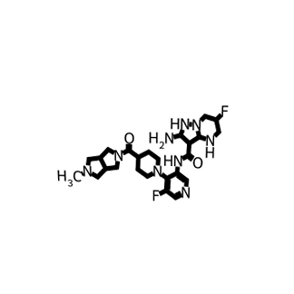 CN1CC2CN(C(=O)C3CCN(c4c(F)cncc4NC(=O)C4C(N)NN5CC(F)CNC45)CC3)CC2C1